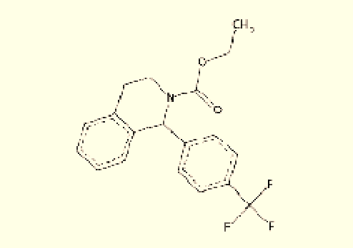 CCOC(=O)N1CCc2ccccc2C1c1ccc(C(F)(F)F)cc1